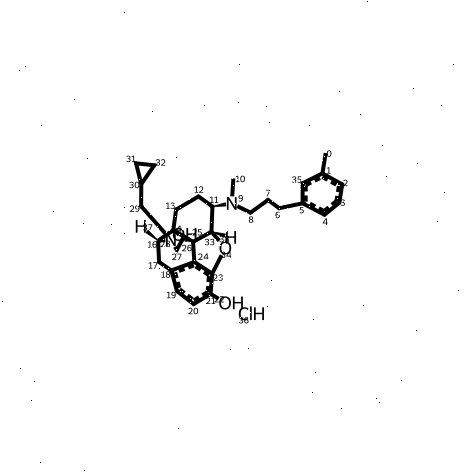 Cc1cccc(CCCN(C)[C@@H]2CC[C@@]3(O)[C@H]4Cc5ccc(O)c6c5[C@@]3(CCN4CC3CC3)[C@H]2O6)c1.Cl